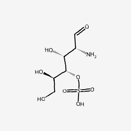 N[C@@H](C=O)[C@@H](O)[C@H](OS(=O)(=O)O)[C@H](O)CO